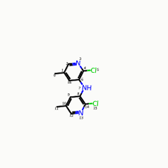 Cc1cnc(Cl)c(Nc2cc(C)cnc2Cl)c1